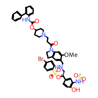 COc1cc2c(cc1CNC[C@H](OS(=O)(=O)c1ccc(Br)cc1)c1ccc(O)c(NS(C)(=O)=O)c1)CCN2C(=O)CCN1CCC(OC(=O)Nc2ccccc2-c2ccccc2)CC1